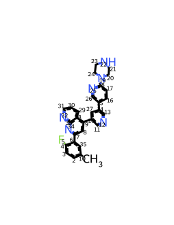 Cc1ccc(F)c(-c2cc(-c3cncc(-c4ccc(N5CCNCC5)nc4)c3)c3cccnc3n2)c1